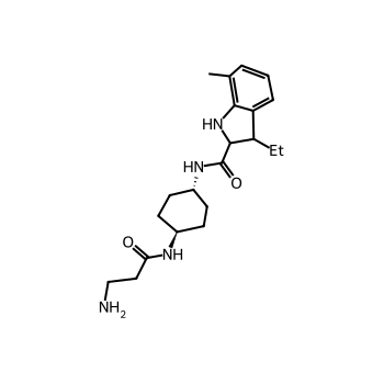 CCC1c2cccc(C)c2NC1C(=O)N[C@H]1CC[C@H](NC(=O)CCN)CC1